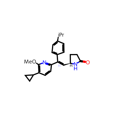 COc1nc(/C(=C/[C@H]2CCC(=O)N2)c2ccc(C(C)C)cc2)ccc1C1CC1